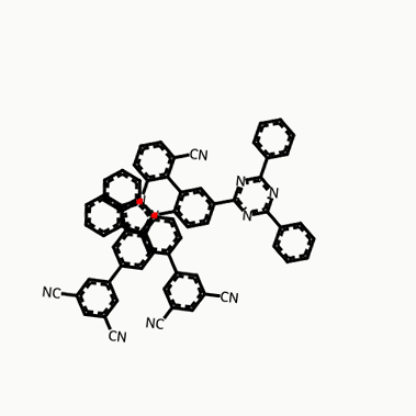 N#Cc1cc(C#N)cc(-c2ccc3c(c2)c2ccccc2n3-c2ccc(-c3nc(-c4ccccc4)nc(-c4ccccc4)n3)cc2-c2c(C#N)cccc2-n2c3ccccc3c3cc(-c4cc(C#N)cc(C#N)c4)ccc32)c1